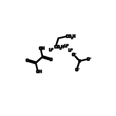 O=C(O)C(=O)O.O=C(O)CC(=O)O.[Li+].[Li+].[Li+].[O-]B([O-])[O-]